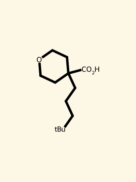 CC(C)(C)CCCC1(C(=O)O)CCOCC1